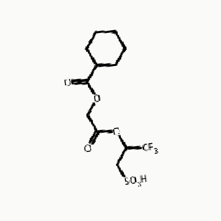 O=C(COC(=O)C1CCCCC1)OC(CS(=O)(=O)O)C(F)(F)F